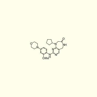 COc1cc(N2CCOCC2)ccc1Nc1ncc2c(n1)N(C1CCCC1)CC(=O)NC2